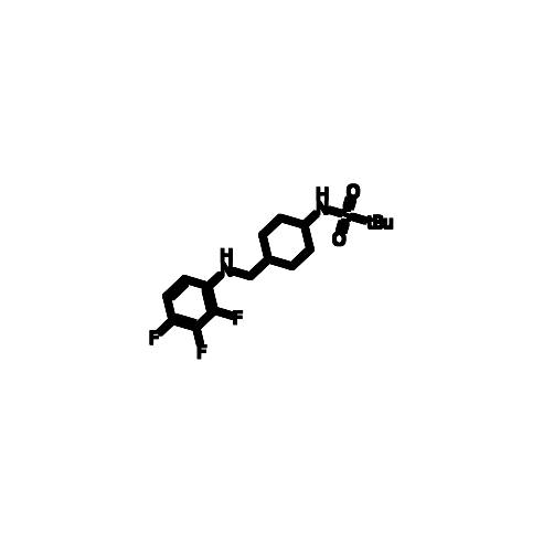 CC(C)(C)S(=O)(=O)NC1CCC(CNc2ccc(F)c(F)c2F)CC1